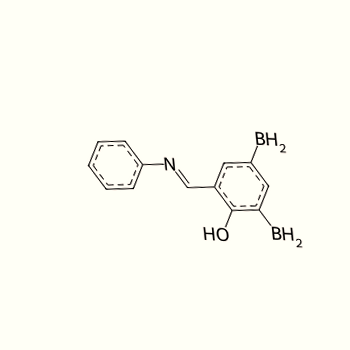 Bc1cc(B)c(O)c(/C=N/c2ccccc2)c1